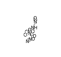 CN1CCN(C(=O)c2cn3c4c(c(NCCCN5CCOCC5)ccc4c2=O)Oc2ccc4ccccc4c2-3)CC1